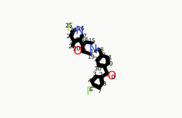 O=C(c1ccc(F)cc1)c1ccc(CN2CCC3(CC2)OCc2cc(F)ncc23)cc1